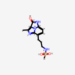 Cc1nc2c(CCCNS(C)(=O)=O)ccc3[nH]c(=O)c1n32